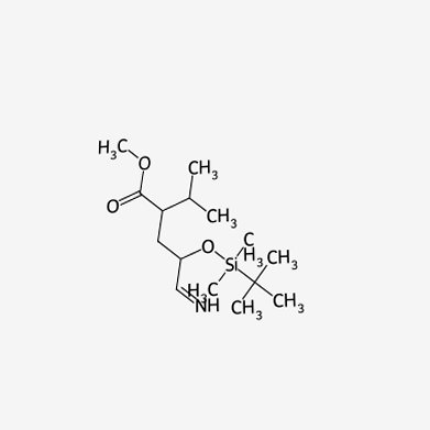 COC(=O)C(CC(C=N)O[Si](C)(C)C(C)(C)C)C(C)C